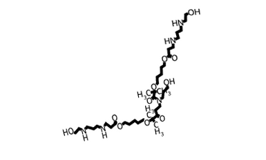 CC(C)(OCCCCCOC(=O)CCNCCCNCCO)C(=O)CCN(CCCO)C(=O)C(C)(C)OCCCCCOC(=O)CCNCCCNCCO